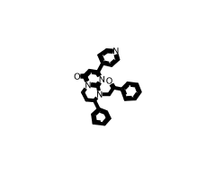 O=C(CN1c2nc(-c3ccncc3)cc(=O)n2CCC1c1ccccc1)c1ccccc1